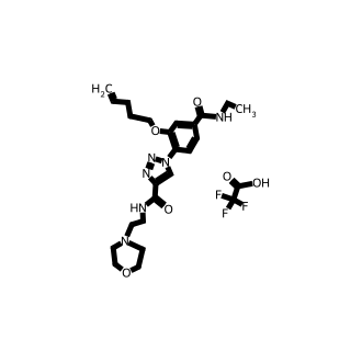 C=CCCCOc1cc(C(=O)NCC)ccc1-n1cc(C(=O)NCCN2CCOCC2)nn1.O=C(O)C(F)(F)F